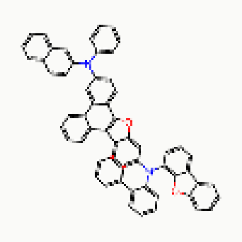 c1ccc(-c2ccccc2N(c2ccc3c(c2)oc2c4ccc(N(c5ccccc5)c5ccc6ccccc6c5)cc4c4ccccc4c32)c2cccc3c2oc2ccccc23)cc1